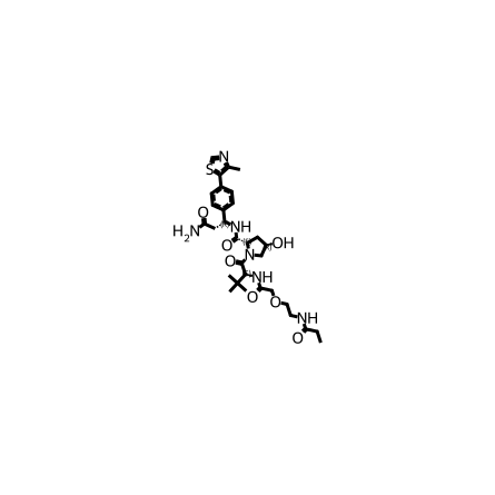 CCC(=O)NCCOCC(=O)N[C@H](C(=O)N1C[C@H](O)C[C@H]1C(=O)N[C@H](CC(N)=O)c1ccc(-c2scnc2C)cc1)C(C)(C)C